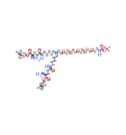 CC(C)(C)OC(=O)NCCOCCOCCOCCOCCOCCN(CCCCCNC(=O)CC[C@H](N)C(=O)OCC[Si](C)(C)C)CCCCCNC(=O)CC[C@H](N)C(=O)OCC[Si](C)(C)C